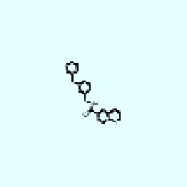 O=C(NCc1cccc(Cc2ccccc2)c1)c1ccc2ncccc2c1